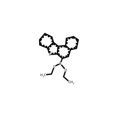 CCOB(OCC)c1cc2ccccc2c2c1sc1ccccc12